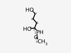 COPC(O)CCCO